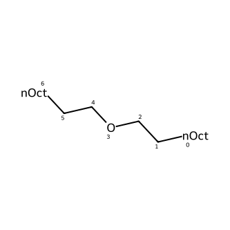 [CH2]CCCCCCCCCOCCCCCCCCC[CH2]